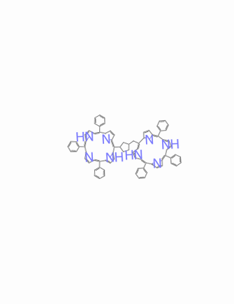 C1=Cc2nc1c(CC1CCC(c3c4nc(c(-c5ccccc5)c5ccc([nH]5)c(-c5ccccc5)c5nc(c(-c6ccccc6)c6ccc3[nH]6)C=C5)C=C4)C1)c1ccc([nH]1)c(-c1ccccc1)c1nc(c(-c3ccccc3)c3ccc([nH]3)c2-c2ccccc2)C=C1